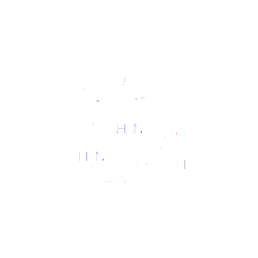 COC(=O)C(N)Cc1ccccc1.NC(Cc1ccc(O)cc1)C(=O)O